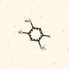 CSc1cc(C)c([N+](=O)[O-])cc1C#N